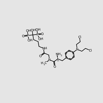 CN(CC(=O)NCCCC(O)(P(=O)(O)O)P(=O)(O)O)C(=O)[C@@H](N)Cc1ccc(N(CCCl)CCCl)cc1